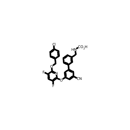 N#Cc1cc(Oc2nc(OCc3ccc(Cl)cc3)c(F)cc2F)cc(-c2cccc(CNC(=O)O)c2)c1